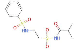 CC(C)C(=O)NS(=O)(=O)CCNS(=O)(=O)c1ccccc1